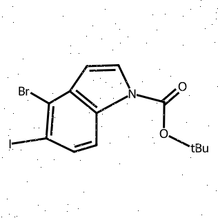 CC(C)(C)OC(=O)n1ccc2c(Br)c(I)ccc21